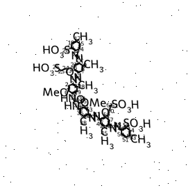 COc1cc(N=Nc2cc(C)c(N=Nc3ccc(C)cc3S(=O)(=O)O)cc2OCCS(=O)(=O)O)c(C)cc1NC(=O)Nc1cc(C)c(N=Nc2cc(C)c(N=Nc3ccc(C)cc3S(=O)(=O)O)cc2OCCS(=O)(=O)O)cc1OC